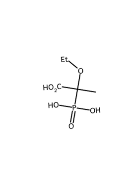 CCOC(C)(C(=O)O)P(=O)(O)O